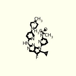 CN1CCN(c2ccc(Nc3ncc4c(F)c(C5CC5)n(-c5cccc(N=S(C)(C)=O)n5)c4n3)nc2)CC1